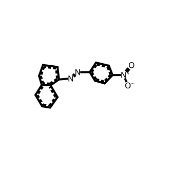 O=[N+]([O-])c1ccc(N=Nc2cccc3ccccc23)cc1